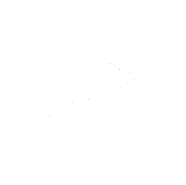 [2H]C([2H])([2H])n1ncc(-c2ccc(-c3ccc(N(C)C4C[C@H]5CCC[C@@H](C4)N5)nn3)c(O)c2)cc1=O